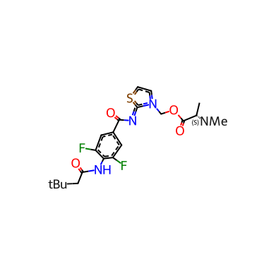 CN[C@@H](C)C(=O)OCn1ccsc1=NC(=O)c1cc(F)c(NC(=O)CC(C)(C)C)c(F)c1